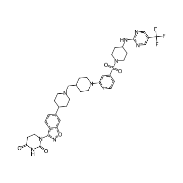 O=C1CCN(c2noc3cc(C4CCN(CC5CCN(c6cccc(S(=O)(=O)N7CCC(Nc8ncc(C(F)(F)F)cn8)CC7)c6)CC5)CC4)ccc23)C(=O)N1